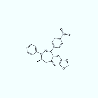 C[C@@H]1Cc2cc3c(cc2C(c2ccc([N+](=O)[O-])cc2)=NN1c1ccccc1)OCO3